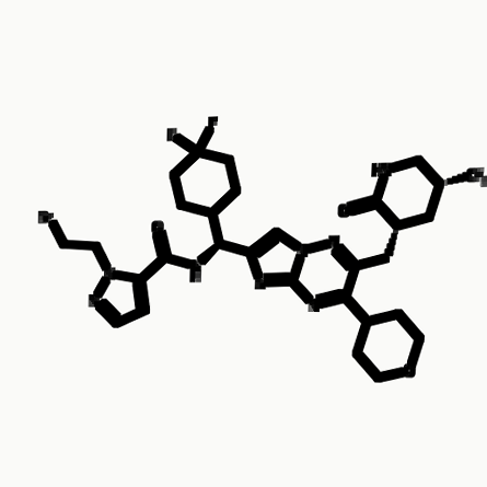 O=C(N[C@H](c1cn2nc(C[C@H]3C[C@@H](C(F)(F)F)CNC3=O)c(C3CCOCC3)nc2n1)C1CCC(F)(F)CC1)c1ccnn1CCBr